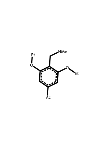 CCOc1cc(C(C)=O)cc(OCC)c1CNC